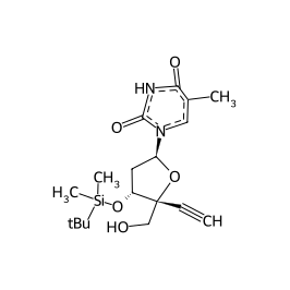 C#C[C@]1(CO)O[C@H](n2cc(C)c(=O)[nH]c2=O)C[C@H]1O[Si](C)(C)C(C)(C)C